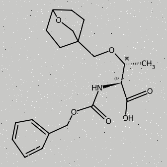 C[C@@H](OCC12CCC(CC1)OC2)[C@H](NC(=O)OCc1ccccc1)C(=O)O